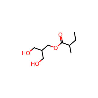 CCC(C)C(=O)OCC(CO)CO